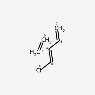 C=C.C=CC=CCl